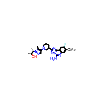 COc1cc2nc(N)n3nc(C4CCCN(c5cnn([C@@H](C)[C@H](C)O)c5C)C4)nc3c2cc1F